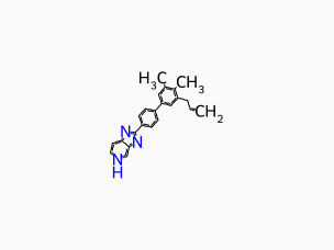 C=CCc1cc(-c2ccc(-c3nc4cc[nH]cc-4n3)cc2)cc(C)c1C